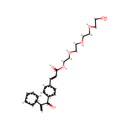 C=C(C(=O)c1ccc(C=CC(=O)OCCOCCOCCOCCO)cc1)c1ccccc1